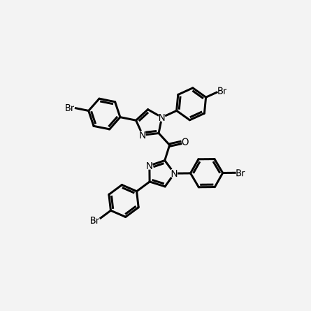 O=C(c1nc(-c2ccc(Br)cc2)cn1-c1ccc(Br)cc1)c1nc(-c2ccc(Br)cc2)cn1-c1ccc(Br)cc1